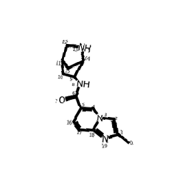 Cc1cn2cc(C(=O)NC3CC4CNC3C4)ccc2n1